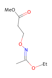 CCOC(C)=NOCCC(=O)OC